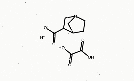 O=C(O)C(=O)O.O=C([O-])C1CN2CCC1C2.[H+]